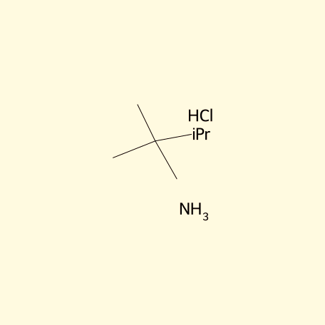 CC(C)C(C)(C)C.Cl.N